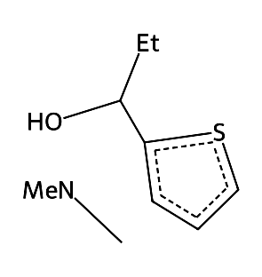 CCC(O)c1cccs1.CNC